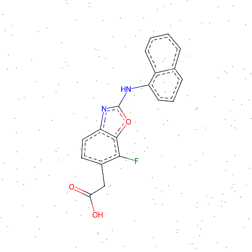 O=C(O)Cc1ccc2nc(Nc3cccc4ccccc34)oc2c1F